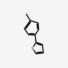 Cc1ccc(-c2cc[c]s2)cc1